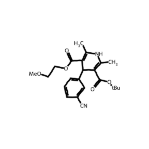 COCCOC(=O)C1=C(C)NC(C)=C(C(=O)OC(C)(C)C)C1c1cccc(C#N)c1